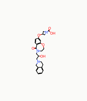 O=C(O)N1CC(Oc2ccc3c(c2)OCCN(CC(O)CN2CCc4ccccc4C2)C3=O)C1